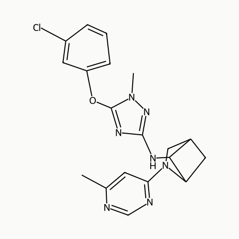 Cc1cc(N2CC3CC2C3Nc2nc(Oc3cccc(Cl)c3)n(C)n2)ncn1